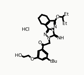 CCC(CC)Oc1nn2c(=N)n(CC(=O)c3cc(OCCO)cc(C(C)(C)C)c3)nc2c2c1CCCC2.Cl